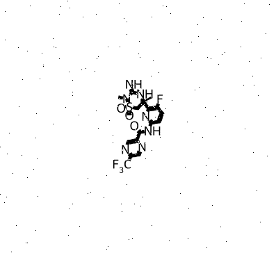 CN1C(=N)N[C@](C)(c2nc(NC(=O)c3cnc(C(F)(F)F)cn3)ccc2F)CS1(=O)=O